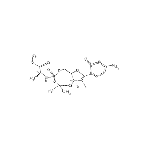 CC(C)OC(=O)[C@H](C)NP1(=O)OCC2OC(n3ccc(N)nc3=O)=C(F)[C@H]2OC(C)(C)O1